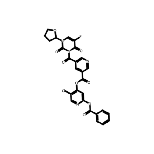 O=C(Oc1cc(OC(=O)c2cncc(C(=O)n3c(=O)c(F)cn(C4CCCO4)c3=O)c2)c(Cl)cn1)c1ccccc1